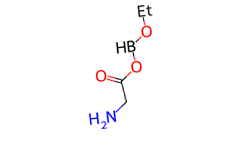 CCOBOC(=O)CN